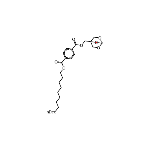 CCCCCCCCCCCCCCCCCCOC(=O)c1ccc(C(=O)OCC23COP(OC2)OC3)cc1